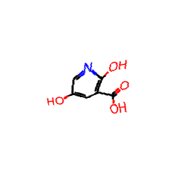 O=C(O)c1cc(O)cnc1O